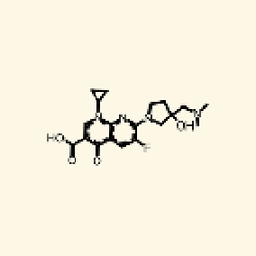 CN(C)CC1(O)CCN(c2nc3c(cc2F)c(=O)c(C(=O)O)cn3C2CC2)C1